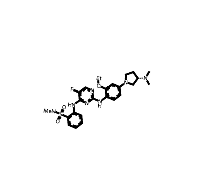 CCOc1cc(N2CC[C@H](N(C)C)C2)ccc1Nc1ncc(F)c(Nc2ccccc2S(=O)(=O)NC)n1